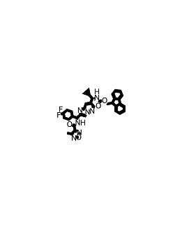 Cc1nonc1C(=O)N[C@H](c1cn2ncc([C@H](NC(=O)OCC3c4ccccc4-c4ccccc43)C3CC3)cc2n1)C1CCC(F)(F)CC1